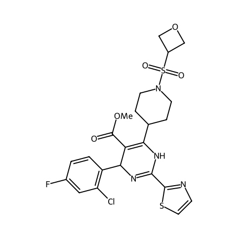 COC(=O)C1=C(C2CCN(S(=O)(=O)C3COC3)CC2)NC(c2nccs2)=NC1c1ccc(F)cc1Cl